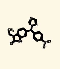 CCn1c(=O)[se]c2cc(C(c3ccc([N+](=O)[O-])cc3)n3cncn3)ccc21